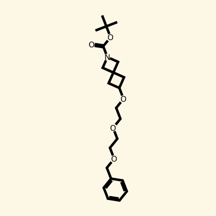 CC(C)(C)OC(=O)N1CC2(CC(OCCOCCOCc3ccccc3)C2)C1